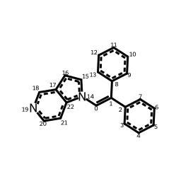 C(=C(c1ccccc1)c1ccccc1)n1ccc2cnccc21